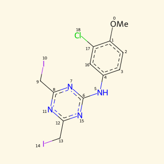 COc1ccc(Nc2nc(CI)nc(CI)n2)cc1Cl